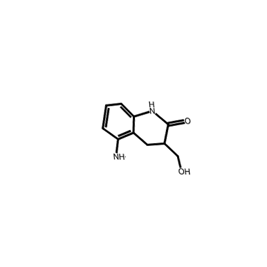 [NH]c1cccc2c1CC(CO)C(=O)N2